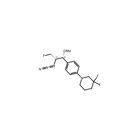 CO[C@H](c1ccc(N2CCCC(F)(F)C2)cc1)[C@@H](CF)N=[N+]=[N-]